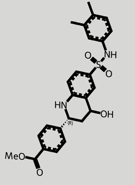 COC(=O)c1ccc([C@H]2CC(O)c3cc(S(=O)(=O)Nc4ccc(C)c(C)c4)ccc3N2)cc1